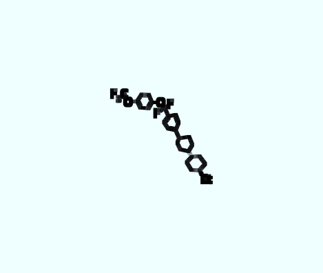 CC[C@H]1CC[C@H](C2CCC(c3ccc(C(F)(F)Oc4ccc(OC(F)(F)F)cc4)cc3)CC2)CC1